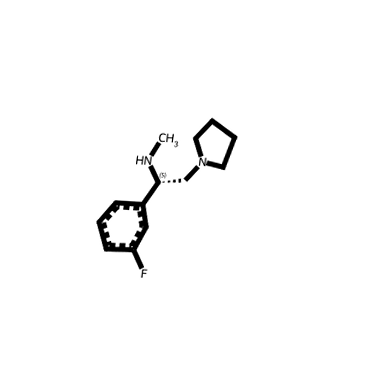 CN[C@H](CN1CCCC1)c1cccc(F)c1